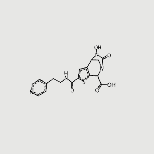 O=C(NCCc1ccncc1)c1cc2c(s1)C(C(=O)O)N1CC2N(O)C1=O